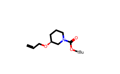 C=CCO[C@H]1CCCN(C(=O)OC(C)(C)C)C1